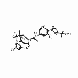 CC(C)(O)c1cnn(-c2ncc(NC(=O)N3C[C@@](C)(C(F)(F)F)c4c3cnc3cc(Cl)nn43)cc2Cl)n1